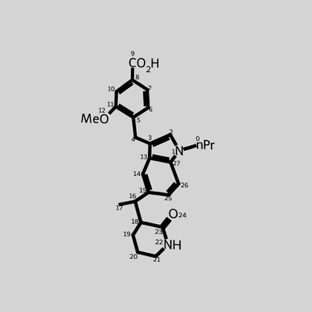 CCCn1cc(Cc2ccc(C(=O)O)cc2OC)c2cc(C(C)C3CCCNC3=O)ccc21